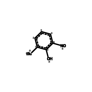 CC(C)(C)c1cccc(N=O)c1O